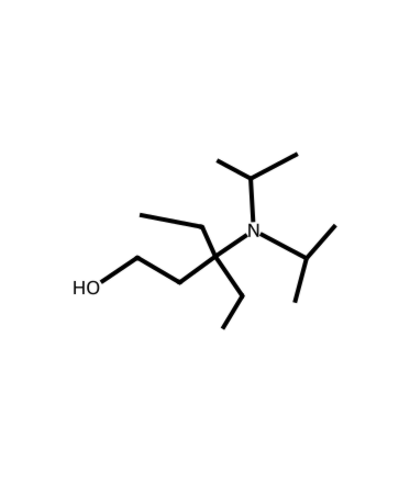 CCC(CC)(CCO)N(C(C)C)C(C)C